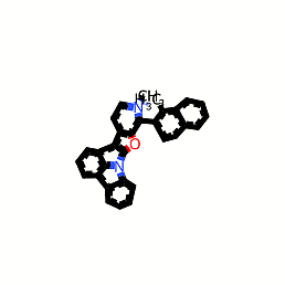 Cc1c(-c2c3oc4c(c3cc[n+]2C)c2cccc3c5ccccc5n4c32)ccc2ccccc12